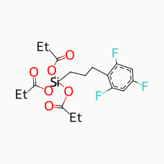 CCC(=O)O[Si](CCCc1c(F)cc(F)cc1F)(OC(=O)CC)OC(=O)CC